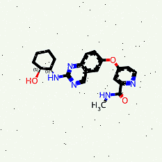 CNC(=O)c1cc(Oc2ccc3nc(N[C@H]4CCCC[C@@H]4O)ncc3c2)ccn1